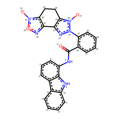 O=C(Nc1cccc2c1[nH]c1ccccc12)c1ccccc1-n1nc2c([n+]1[O-])CCc1c-2no[n+]1[O-]